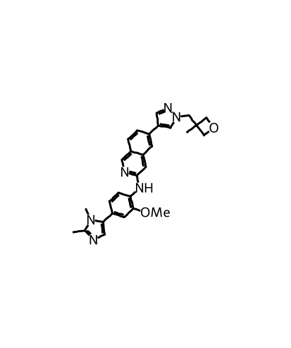 COc1cc(-c2cnc(C)n2C)ccc1Nc1cc2cc(-c3cnn(CC4(C)COC4)c3)ccc2cn1